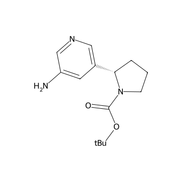 CC(C)(C)OC(=O)N1CCC[C@H]1c1cncc(N)c1